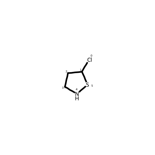 ClC1C[CH]NS1